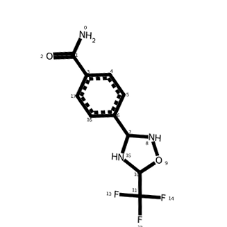 NC(=O)c1ccc(C2NOC(C(F)(F)F)N2)cc1